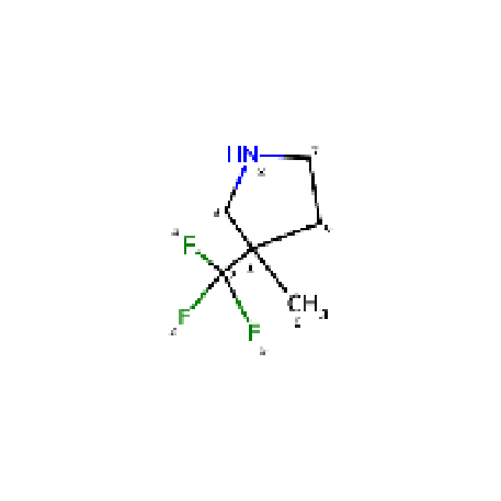 CC1(C(F)(F)F)CCNC1